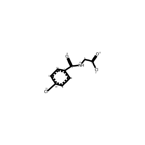 O=C(Cl)CNC(=O)c1ccc(Cl)cc1